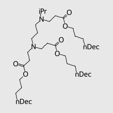 CCCCCCCCCCCCCOC(=O)CCN(CCCN(CCC(=O)OCCCCCCCCCCCCC)C(C)C)CCC(=O)OCCCCCCCCCCCCC